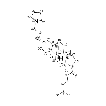 CC(C)CCC[C@@H](C)[C@H]1CC[C@H]2[C@@H]3CC=C4C[C@@H](OCCN5CCCC5)CC[C@]4(C)[C@H]3CC[C@]12C